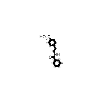 O=C(O)c1ccc(CCNC(=O)c2ccccc2)cc1